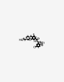 CCS(=O)(=O)c1ccc(Cl)cc1CNC(=O)c1cc(F)c(CN2CCN(CCO)CC2)c(Cl)c1